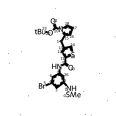 CSNc1cc(Br)cc(NC(=O)c2cc(Cc3cccn3C(=O)OC(C)(C)C)cs2)c1